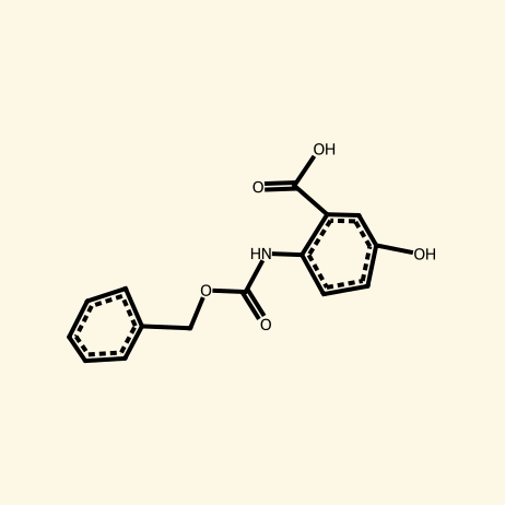 O=C(Nc1ccc(O)cc1C(=O)O)OCc1ccccc1